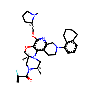 C=C(F)C(=O)N1C[C@@H]2COc3c(OC[C@@H]4CCCN4C)nc4c(c3N2C[C@H]1C)CCN(c1cccc2c1CCCC2)C4